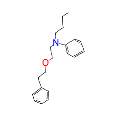 CCCCN(CCOCCc1ccccc1)c1ccccc1